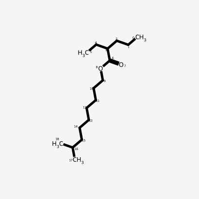 CCCC(CC)C(=O)OCCCCCCCC(C)C